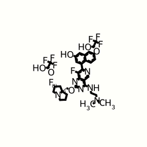 CN(C)CCNc1nc(OC[C@]23CCCN2C[C@@H](F)C3)nc2c(F)c(-c3cc(O)cc4ccccc34)ncc12.O=C(O)C(F)(F)F.O=C(O)C(F)(F)F